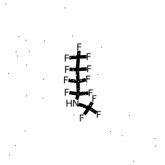 FC(F)(F)NC(F)(F)C(F)(F)C(F)(F)C(F)(F)F